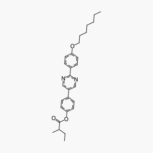 CCCCCCCOc1ccc(-c2ncc(-c3ccc(OC(=O)C(C)CC)cc3)cn2)cc1